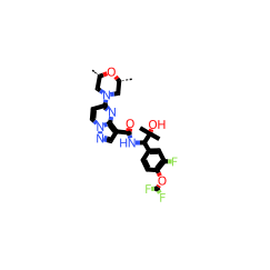 C[C@@H]1CN(c2ccn3ncc(C(=O)NC(c4ccc(OC(F)F)c(F)c4)C(C)(C)O)c3n2)C[C@H](C)O1